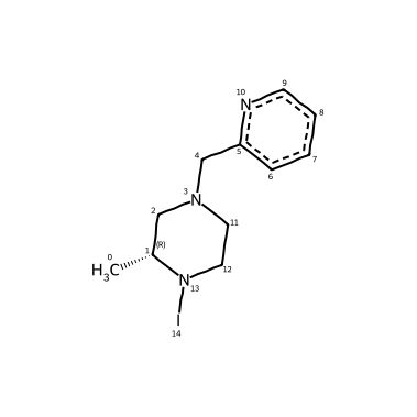 C[C@@H]1CN(Cc2ccccn2)CCN1I